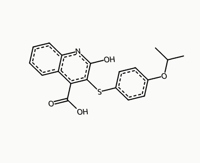 CC(C)Oc1ccc(Sc2c(O)nc3ccccc3c2C(=O)O)cc1